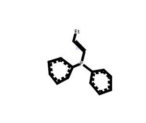 CC/C=C/P(c1ccccc1)c1ccccc1